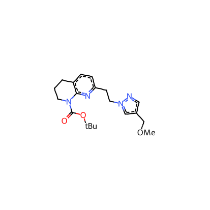 COCc1cnn(CCc2ccc3c(n2)N(C(=O)OC(C)(C)C)CCC3)c1